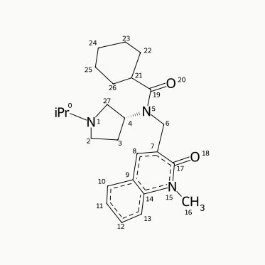 CC(C)N1CC[C@@H](N(Cc2cc3ccccc3n(C)c2=O)C(=O)C2CCCCC2)C1